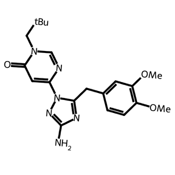 COc1ccc(Cc2nc(N)nn2-c2cc(=O)n(CC(C)(C)C)cn2)cc1OC